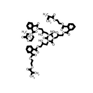 C=C(C)C(=O)OCCOC(=O)c1ccccc1C(=O)OCC(O)CN1C(=O)N(CC(O)COC(=O)c2ccccc2C(=O)OCCOC(=O)C(=C)C)C(O)N(CC(O)COC(=O)c2ccccc2C(=O)OCCOC(=O)C(=C)C)C1=O